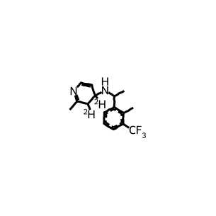 [2H]C1C(C)=NC=CC1([2H])NC(C)c1cccc(C(F)(F)F)c1C